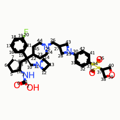 O=C(O)N[C@H]1CCC[C@@H]1[C@](CN1CCC1)(c1cccc(F)c1)C1CCN(CC2CN(c3ccc(S(=O)(=O)C4COC4)cc3)C2)CC1